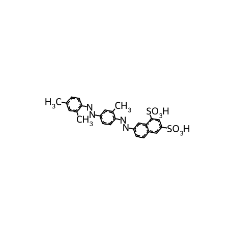 Cc1ccc(N=Nc2ccc(N=Nc3ccc4cc(S(=O)(=O)O)cc(S(=O)(=O)O)c4c3)c(C)c2)c(C)c1